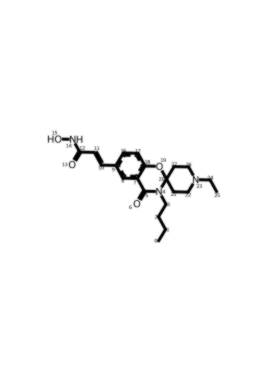 CCCCN1C(=O)c2cc(C=CC(=O)NO)ccc2OC12CCN(CC)CC2